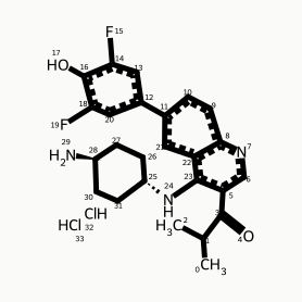 CC(C)C(=O)c1cnc2ccc(-c3cc(F)c(O)c(F)c3)cc2c1N[C@H]1CC[C@H](N)CC1.Cl.Cl